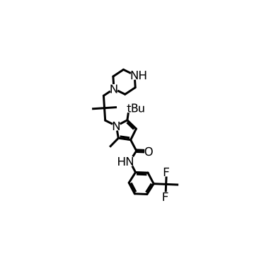 Cc1c(C(=O)Nc2cccc(C(C)(F)F)c2)cc(C(C)(C)C)n1CC(C)(C)CN1CCNCC1